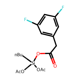 CCCC[Si](OC(C)=O)(OC(C)=O)OC(=O)Cc1cc(F)cc(F)c1